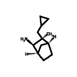 C[C@]1(CC2CC2)[C@H]2CC[C@H](C2)[C@H]1N